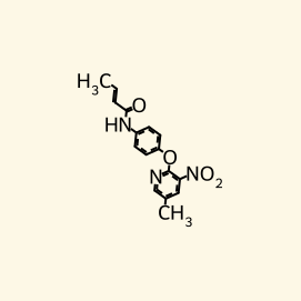 C/C=C/C(=O)Nc1ccc(Oc2ncc(C)cc2[N+](=O)[O-])cc1